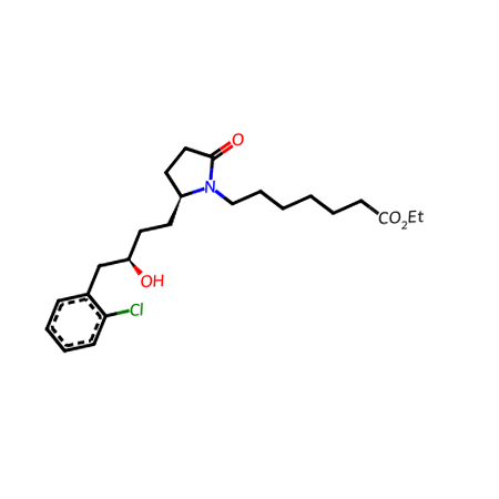 CCOC(=O)CCCCCCN1C(=O)CC[C@@H]1CC[C@@H](O)Cc1ccccc1Cl